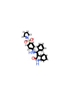 O=C1Nc2ccccc2/C1=C(/Nc1ccc(S(=O)(=O)N2CCCC2)cc1)c1ccccc1